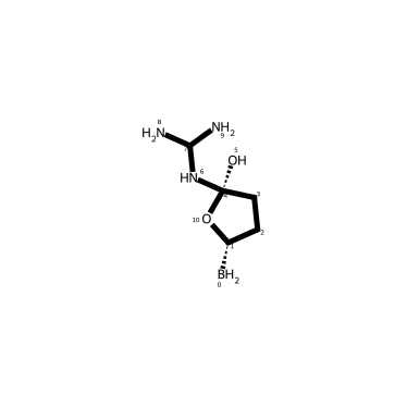 B[C@H]1CC[C@](O)(NC(N)N)O1